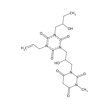 C=CCn1c(=O)n(CC(O)CC)c(=O)n(CC(O)CN2C(=O)CC(=O)N(C)C2=O)c1=O